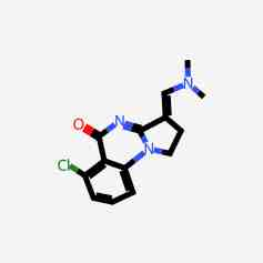 CN(C)C=C1CCn2c1nc(=O)c1c(Cl)cccc12